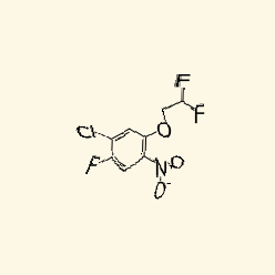 O=[N+]([O-])c1cc(F)c(Cl)cc1OCC(F)F